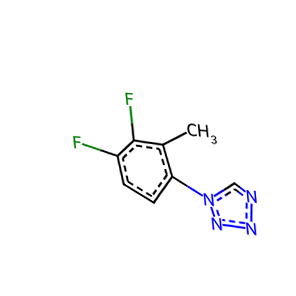 Cc1c(-n2cnnn2)ccc(F)c1F